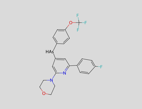 Fc1ccc(-c2cc([AsH]c3ccc(OC(F)(F)F)cc3)cc(N3CCOCC3)n2)cc1